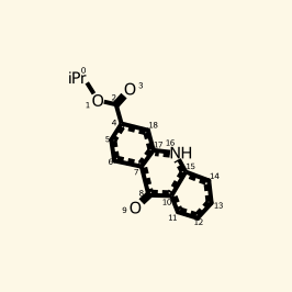 CC(C)OC(=O)c1ccc2c(=O)c3ccccc3[nH]c2c1